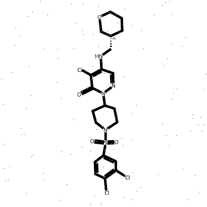 O=c1c(Cl)c(NC[C@H]2CCCOC2)cnn1C1CCN(S(=O)(=O)c2ccc(Cl)c(Cl)c2)CC1